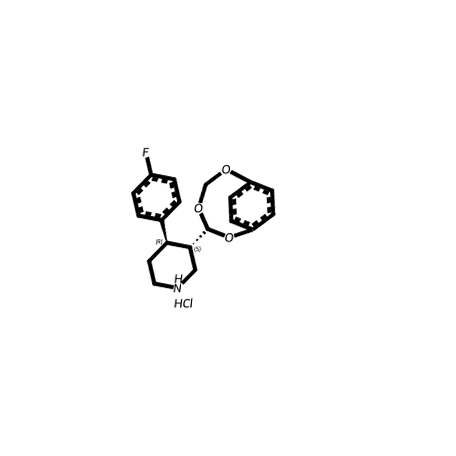 Cl.Fc1ccc([C@@H]2CCNC[C@H]2C2OCOc3ccc(cc3)O2)cc1